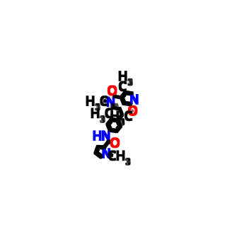 COc1cc(C(=O)N(C)[C@@H](C)CCc2ccc(NC(=O)c3cccn3C)cc2)c(C)cn1